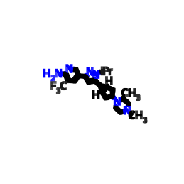 CC1CN(C)CCN1C1C[C@@H]2C(c3cc(-c4cnc(N)c(C(F)(F)F)c4)nn3C(C)C)[C@@H]2C1